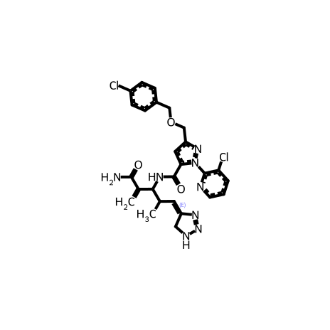 C=C(C(N)=O)C(NC(=O)c1cc(COCc2ccc(Cl)cc2)nn1-c1ncccc1Cl)C(C)/C=C1\CNN=N1